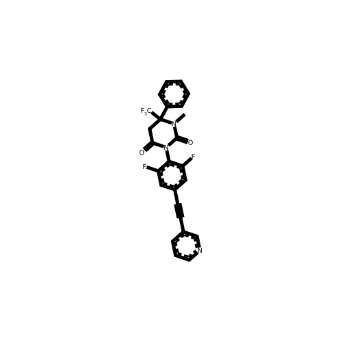 CN1C(=O)N(c2c(F)cc(C#Cc3cccnc3)cc2F)C(=O)CC1(c1ccccc1)C(F)(F)F